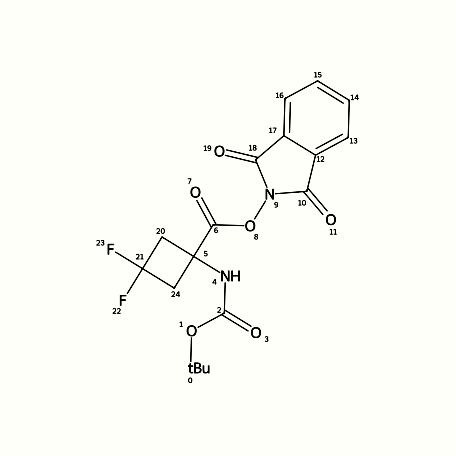 CC(C)(C)OC(=O)NC1(C(=O)ON2C(=O)c3ccccc3C2=O)CC(F)(F)C1